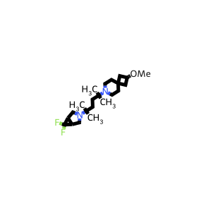 COC1CC2(CCN(C(C)(C)CCC(C)(C)N3CC4C(C3)C4(F)F)CC2)C1